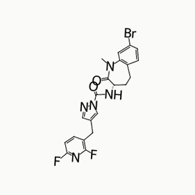 CN1C(=O)[C@@H](NC(=O)n2cc(Cc3ccc(F)nc3F)cn2)CCc2ccc(Br)cc21